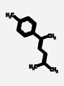 CC(C)=C/C=C(\C)c1ccc(C)cc1